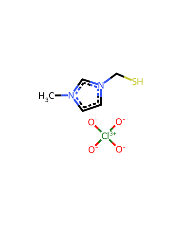 C[n+]1ccn(CS)c1.[O-][Cl+3]([O-])([O-])[O-]